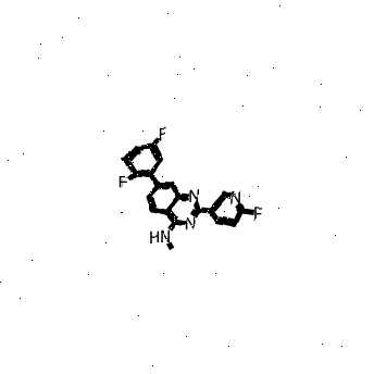 CNc1nc(-c2ccc(F)nc2)nc2cc(-c3cc(F)ccc3F)ccc12